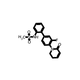 CS(=O)(=O)Nc1ccccc1-c1ccc(N2CCC=CC2=O)c(F)c1